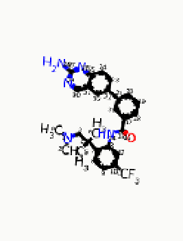 CN(C)CC(C)(C)c1ccc(C(F)(F)F)cc1NC(=O)c1cccc(-c2ccc3nc(N)ncc3c2)c1